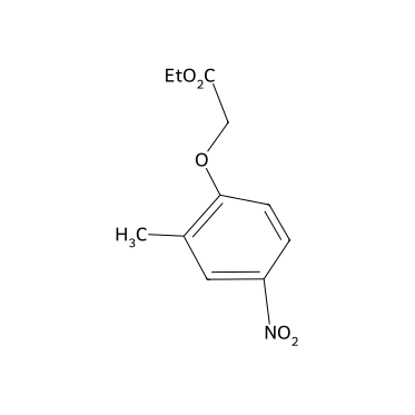 CCOC(=O)COc1ccc([N+](=O)[O-])cc1C